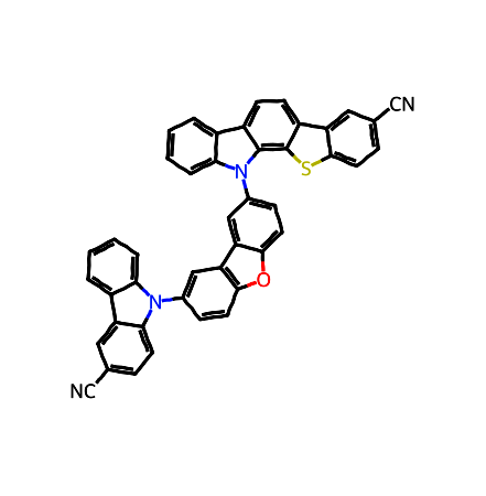 N#Cc1ccc2sc3c(ccc4c5ccccc5n(-c5ccc6oc7ccc(-n8c9ccccc9c9cc(C#N)ccc98)cc7c6c5)c43)c2c1